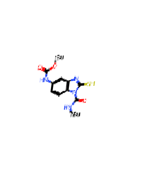 CCCCNC(=O)n1c(S)nc2cc(NC(=O)OC(C)(C)C)ccc21